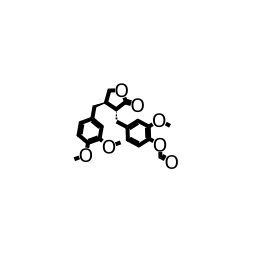 COc1ccc(C[C@H]2COC(=O)[C@@H]2Cc2ccc(OC=O)c(OC)c2)cc1OC